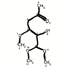 COC(CC(C)=O)C(S)C(OC)OC